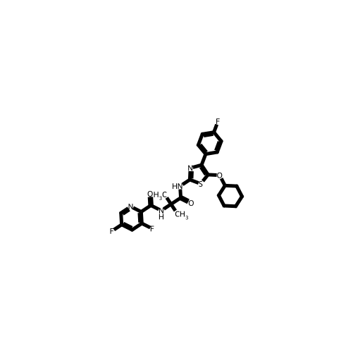 CC(C)(NC(=O)c1ncc(F)cc1F)C(=O)Nc1nc(-c2ccc(F)cc2)c(OC2CCCCC2)s1